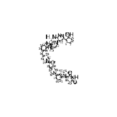 Nc1nnc(-c2ccccc2O)cc1N1CC2C[C@H](C1)N(c1cccc(CC3CCN(C(=O)CN4CCN(c5cccc6c5CCN6[C@@H]5CCC(=O)NC5=O)CC4)CC3)c1)C2